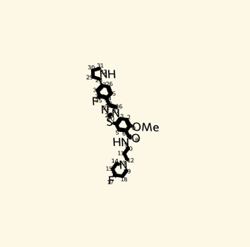 COc1cc2c(cc1C(=O)NCCCN1CCC(F)CC1)sc1nc(-c3ccc([C@H]4CCCN4)cc3F)cn12